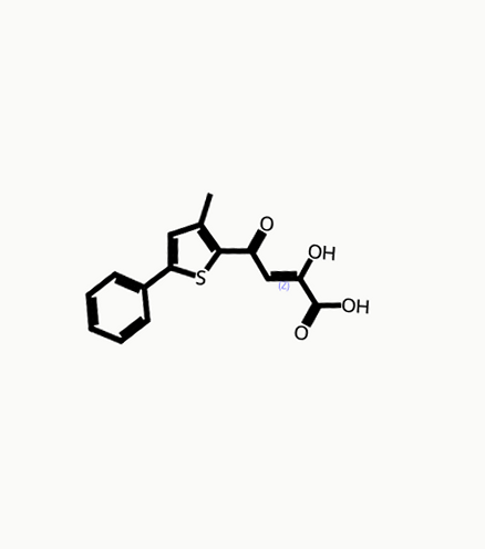 Cc1cc(-c2ccccc2)sc1C(=O)/C=C(\O)C(=O)O